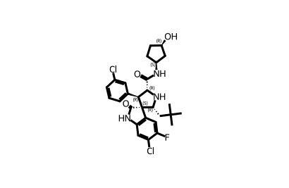 CC(C)(C)C[C@H]1N[C@@H](C(=O)N[C@H]2CC[C@@H](O)C2)[C@H](c2cccc(Cl)c2)[C@@]12C(=O)Nc1cc(Cl)c(F)cc12